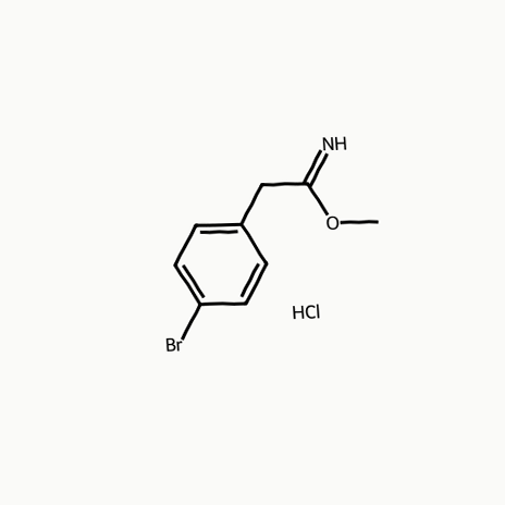 COC(=N)Cc1ccc(Br)cc1.Cl